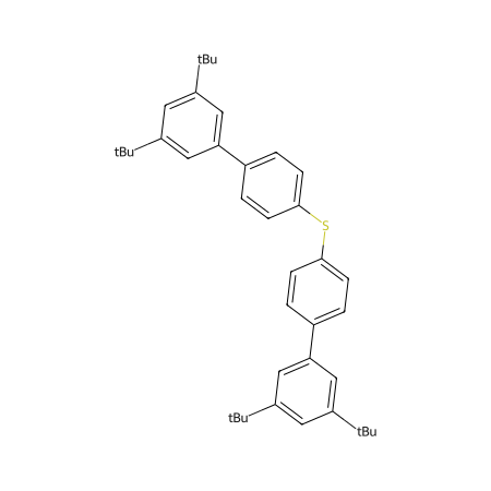 CC(C)(C)c1cc(-c2ccc(Sc3ccc(-c4cc(C(C)(C)C)cc(C(C)(C)C)c4)cc3)cc2)cc(C(C)(C)C)c1